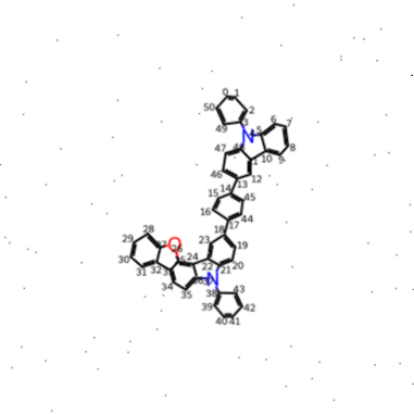 c1ccc(-n2c3ccccc3c3cc(-c4ccc(-c5ccc6c(c5)c5c7oc8ccccc8c7ccc5n6-c5ccccc5)cc4)ccc32)cc1